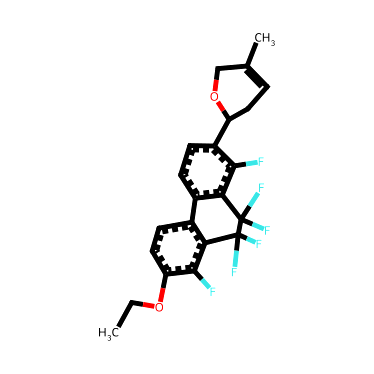 CCOc1ccc2c(c1F)C(F)(F)C(F)(F)c1c-2ccc(C2CC=C(C)CO2)c1F